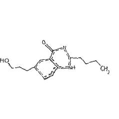 CCCCc1nc(=O)c2cc(CCCO)ccc2[nH]1